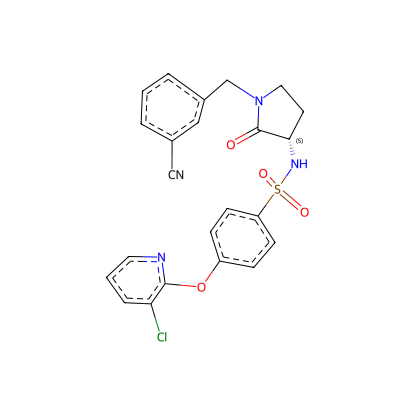 N#Cc1cccc(CN2CC[C@H](NS(=O)(=O)c3ccc(Oc4ncccc4Cl)cc3)C2=O)c1